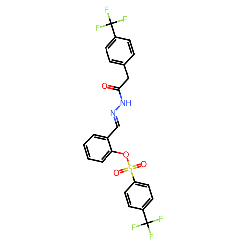 O=C(Cc1ccc(C(F)(F)F)cc1)NN=Cc1ccccc1OS(=O)(=O)c1ccc(C(F)(F)F)cc1